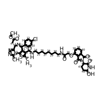 COC(=O)C[C@@H]1N=C(c2ccc(Cl)cc2)c2c(sc(C)c2C(=O)NCCCCCCCCNC(=O)COc2cccc3c2C(=O)N(C2CCC(O)NC2=O)C3=O)-n2c(C)nnc21